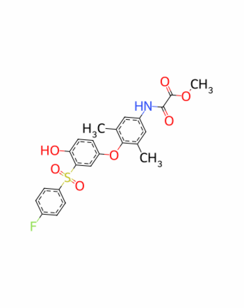 COC(=O)C(=O)Nc1cc(C)c(Oc2ccc(O)c(S(=O)(=O)c3ccc(F)cc3)c2)c(C)c1